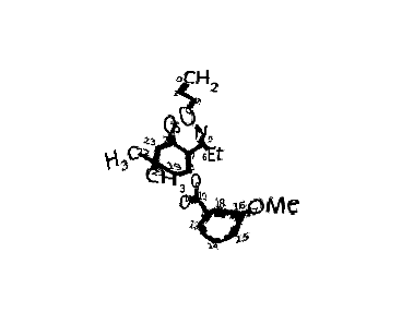 C=CCO/N=C(/CC)C1=C(OC(=O)c2cccc(OC)c2)CC(C)(C)CC1=O